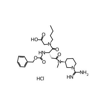 CCCCN(CC(=O)O)C(=O)[C@H](CC(=O)N(C)[C@H]1CCCN(C(=N)N)C1)NC(=O)OCc1ccccc1.Cl